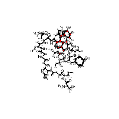 CC[C@H](C)[C@H](NC(=O)[C@@H](N)[C@@H](C)O)C(=O)NCC(=O)N[C@@H](CC(N)=O)C(=O)NCC(=O)NCC(=O)N[C@@H](CO)C(=O)N[C@@H](CC(N)=O)C(=O)N[C@@H](Cc1c[nH]cn1)C(=O)N[C@@H](Cc1ccc(O)cc1)C(=O)N[C@H](C(=O)N[C@H](C(=O)N[C@@H](Cc1ccc(O)cc1)C(=O)N[C@H](C(=O)N[C@@H](CCC(=O)O)C(=O)N[C@@H](CO)C(=O)N[C@H](C(=O)O)C(C)C)C(C)C)[C@@H](C)CC)[C@@H](C)O